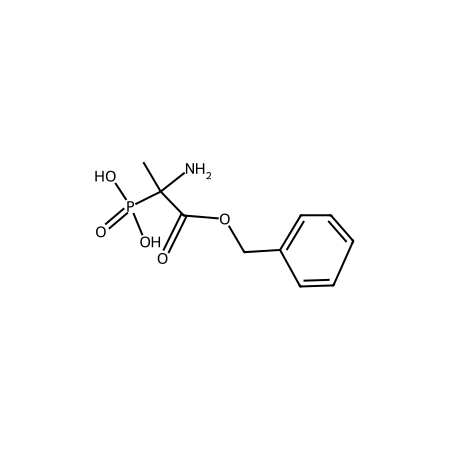 CC(N)(C(=O)OCc1ccccc1)P(=O)(O)O